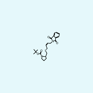 CC(C)(C)OC(=O)N1CCCC1CSC/C=C\CN1C(=O)c2ccccc2C1=O